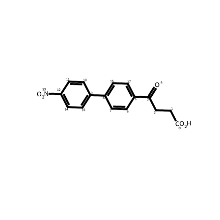 O=C(O)CCC(=O)c1ccc(-c2ccc([N+](=O)[O-])cc2)cc1